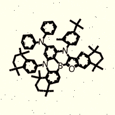 Cc1cc(C(C)(C)C)ccc1N1c2cc(N(c3ccccc3)c3ccccc3)cc3c2B(c2ccc4c(c2N3c2ccc3c(c2)C(C)(C)CCC3(C)C)C(C)(C)CCC4(C)C)c2oc3cc4c(cc3c21)C(C)(C)CCC4(C)C